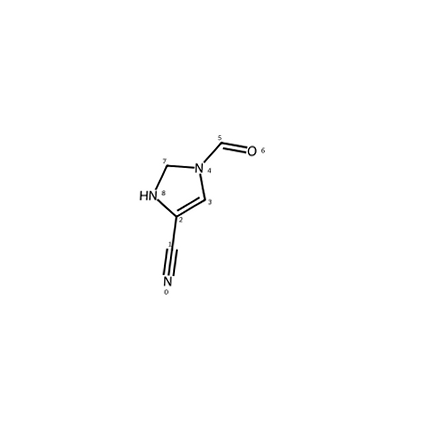 N#CC1=CN(C=O)CN1